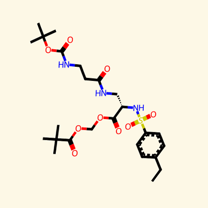 CCc1ccc(S(=O)(=O)N[C@@H](CNC(=O)CCNC(=O)OC(C)(C)C)C(=O)OCOC(=O)C(C)(C)C)cc1